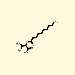 CCCCCCCCCC(=O)OC(C(=O)O)C(C)C